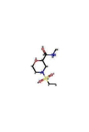 CCS(=O)(=O)N1CCOC(C(=O)NC)C1